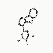 Clc1cc(-c2cccc3c2oc2ccccc23)cc(Br)c1Cl